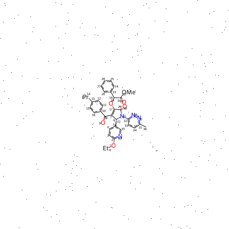 CCOc1ccc([C@H]2C(C(=O)c3ccc(C(C)C)cc3)=C(OC(C(=O)OC)c3ccccc3)C(=O)N2c2ccc(C)nn2)cn1